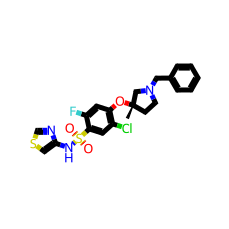 C[C@]1(Oc2cc(F)c(S(=O)(=O)Nc3cscn3)cc2Cl)CCN(Cc2ccccc2)C1